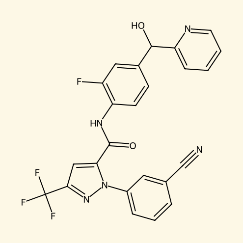 N#Cc1cccc(-n2nc(C(F)(F)F)cc2C(=O)Nc2ccc(C(O)c3ccccn3)cc2F)c1